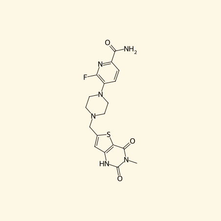 Cn1c(=O)[nH]c2cc(CN3CCN(c4ccc(C(N)=O)nc4F)CC3)sc2c1=O